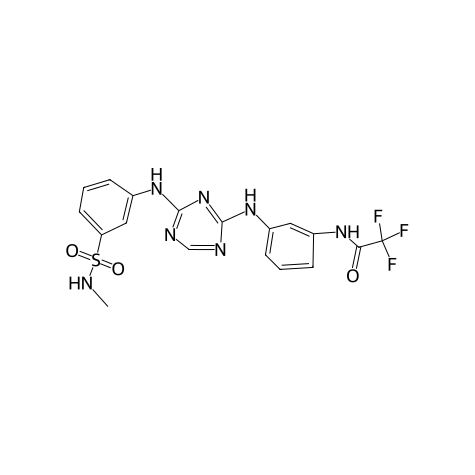 CNS(=O)(=O)c1cccc(Nc2ncnc(Nc3cccc(NC(=O)C(F)(F)F)c3)n2)c1